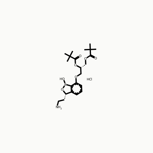 CC(C)(C)C(=O)OC[C@H](COc1cccc2c1B(O)O[C@H]2CCN)OC(=O)C(C)(C)C.Cl